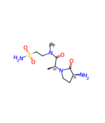 CC(C)N(CCS(N)(=O)=O)C(=O)[C@H](C)N1CC[C@H](N)C1=O